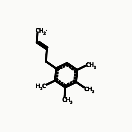 [CH2]C=CCc1cc(C)c(C)c(C)c1C